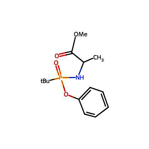 COC(=O)C(C)NP(=O)(Oc1ccccc1)C(C)(C)C